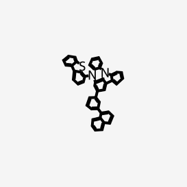 c1cc(-c2cc3c4c(c2)c2ccccc2n4-c2ccccc2N3c2cccc3c2sc2ccccc23)cc(-c2cccc3ccccc23)c1